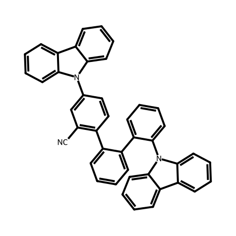 N#Cc1cc(-n2c3ccccc3c3ccccc32)ccc1-c1ccccc1-c1ccccc1-n1c2ccccc2c2ccccc21